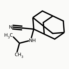 CC(C)NC1(C#N)C2CC3CC(C2)CC1C3